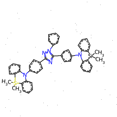 C[Si]1(C)c2ccccc2N(c2ccc(-c3nc(-c4ccc(N5c6ccccc6S(C)(C)c6ccccc65)cc4)nn3-c3ccccc3)cc2)c2ccccc21